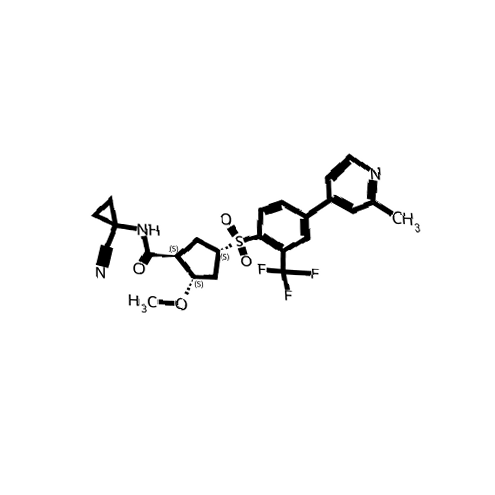 CO[C@H]1C[C@@H](S(=O)(=O)c2ccc(-c3ccnc(C)c3)cc2C(F)(F)F)C[C@@H]1C(=O)NC1(C#N)CC1